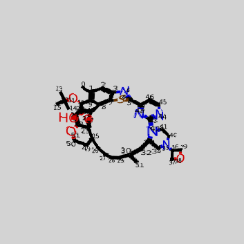 Cc1cc2nc3sc2c(c1[C@H](OC(C)(C)C)C(=O)O)-c1ccc2c(c1)C(CCCCC(C)CC1CN(C4COC4)CCN1c1nccc-3n1)CCO2